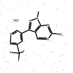 Cl.Cn1nc(-c2cncc(C(F)(F)F)c2)c2cnc(N)nc21